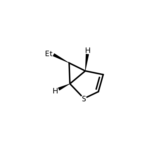 CC[C@H]1[C@@H]2C=CS[C@@H]21